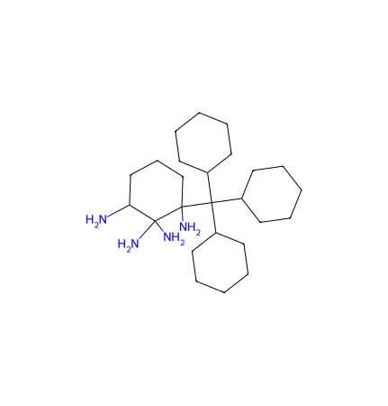 NC1CCCC(N)(C(C2CCCCC2)(C2CCCCC2)C2CCCCC2)C1(N)N